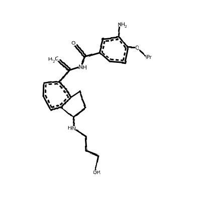 C=C(NC(=O)c1ccc(OC(C)C)c(N)c1)c1cccc2c1CCC2NCCCO